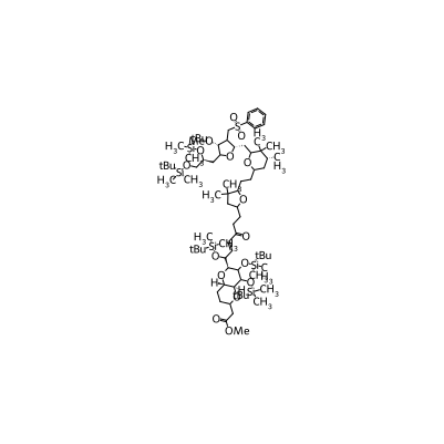 COC(=O)CC1CC[C@@H]2O[C@@H](C(/C=C/C(=O)CCC3CC(C)(C)C(CCC4C[C@@H](C)C(C)(C)C(C[C@@H]5OC(C[C@@H](CO[Si](C)(C)C(C)(C)C)O[Si](C)(C)C(C)(C)C)[C@H](OC)C5CS(=O)(=O)c5ccccc5)O4)O3)O[Si](C)(C)C(C)(C)C)C(O[Si](C)(C)C(C)(C)C)C(O[Si](C)(C)C(C)(C)C)[C@H]2O1